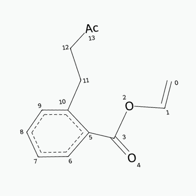 C=COC(=O)c1ccccc1CCC(C)=O